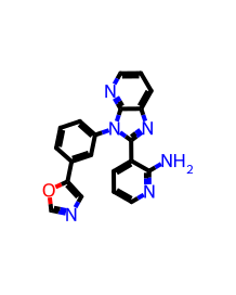 Nc1ncccc1-c1nc2cccnc2n1-c1cccc(-c2cnco2)c1